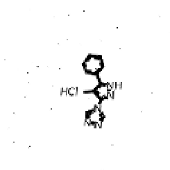 Cc1c(-n2cnnc2)n[nH]c1-c1ccccc1.Cl